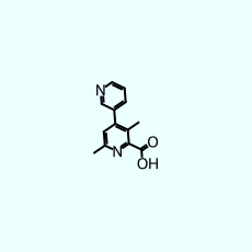 Cc1cc(-c2cccnc2)c(C)c(C(=O)O)n1